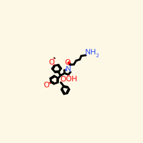 COc1ccc(C(OCc2ccccc2)(c2ccc(OC)cc2)C2CN(C(=O)CCCCCN)CC2O)cc1